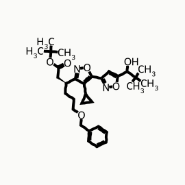 CC(C)(C)OC(=O)C[C@H](CCCOCc1ccccc1)c1noc(-c2cc(C(O)C(C)(C)C)on2)c1C1CC1